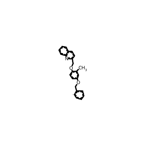 Cc1cc(OCc2[c]cccc2)ccc1OCc1ccc2ccccc2n1